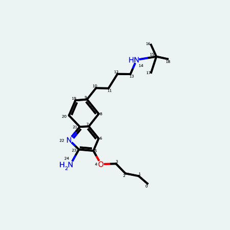 CCCCOc1cc2cc(CCCCNC(C)(C)C)ccc2nc1N